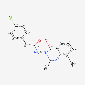 CCc1nc2c(C(C)C)cccc2c(=O)n1NC(=O)Cc1ccc(F)cc1